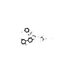 CC(=O)N[C@H](C)C(=O)NC[C@H]1CN(S(=O)(=O)c2cccc(C(F)(F)F)c2)c2cc(-c3cc(F)ccc3F)ccc2O1